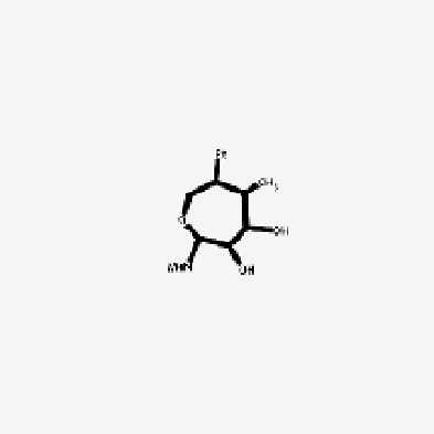 CCC1COC(NC)C(O)C(O)C1C